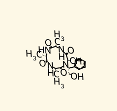 C[C@@H]1NC(=O)[C@H](C)NC(=O)[C@H](C)N([C@@H](CO)c2ccccc2)C(=O)[C@H](C)NC1=O